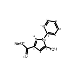 COC(=O)c1cc(O)n(-c2ccccn2)n1